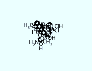 COc1cccc2c1C(=O)c1c(O)c3c(c(O)c1C2=O)C[C@@](O)(C(=O)CO)C[C@@H]3O[C@H]1C[C@H](N)[C@H](O)[C@H](C)O1.Cl.O=P1(N(CCCl)CCCl)NCCCO1